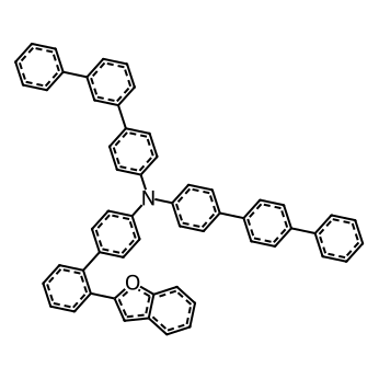 c1ccc(-c2ccc(-c3ccc(N(c4ccc(-c5cccc(-c6ccccc6)c5)cc4)c4ccc(-c5ccccc5-c5cc6ccccc6o5)cc4)cc3)cc2)cc1